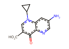 Nc1cnc2c(=O)c(C(=O)O)cn(C3CC3)c2c1